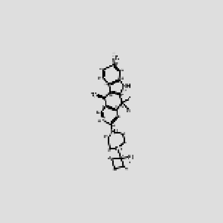 CCC1(N2CCN(c3cc4c(cn3)C(=O)c3c([nH]c5cc(C#N)ccc35)C4(C)C)CC2)CCC1